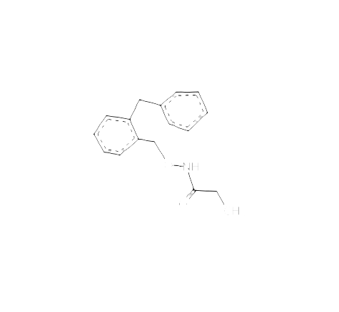 CCC(=O)NOCc1ccccc1Cc1ccccc1